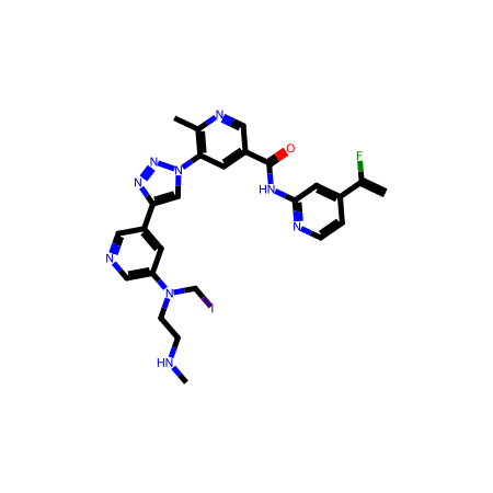 C=C(F)c1ccnc(NC(=O)c2cnc(C)c(-n3cc(-c4cncc(N(CI)CCNC)c4)nn3)c2)c1